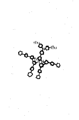 CC(C)(C)c1ccc(N(c2ccc(-c3cc4c5c(c3)-n3c6ccc(-c7ccc(C8CCCCC8)cc7)cc6c6cc(-c7ccc(C8CCCCC8)cc7)cc(c63)B5c3cc(-c5ccc(C6CCCCC6)cc5)cc5c6cc(-c7ccc(C8CCCCC8)cc7)ccc6n-4c35)cc2)c2ccc(C(C)(C)C)cc2)cc1